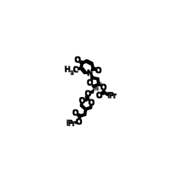 Cc1cn(C2C[C@@H](OC(=O)C(C)C)[C@H](COP3OCC(CC(=O)OC(C)C)CO3)O2)c(=O)ccc1=O